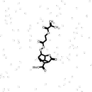 C=C(C)C(=O)OCCC(=O)OOC1C2CC3C1OC(=O)C3C2C(=O)OC